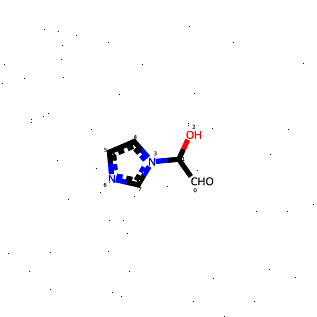 O=CC(O)n1ccnc1